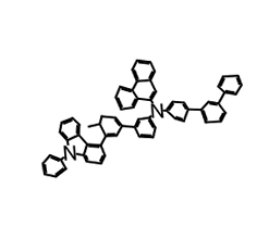 CC1CC=C(c2cccc(N(c3ccc(-c4cccc(-c5ccccc5)c4)cc3)c3cc4ccccc4c4ccccc34)c2)C=C1c1cccc2c1c1ccccc1n2-c1ccccc1